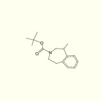 CC1CN(C(=O)OC(C)(C)C)CCc2ccccc21